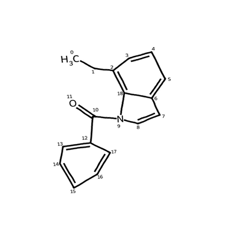 CCc1cccc2ccn(C(=O)c3ccccc3)c12